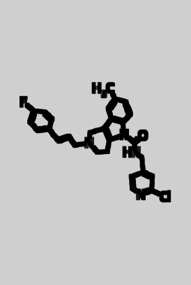 Cc1ccc2c(c1)c1c(n2C(=O)NCc2ccnc(Cl)c2)CCN(CC=Cc2ccc(F)cc2)C1